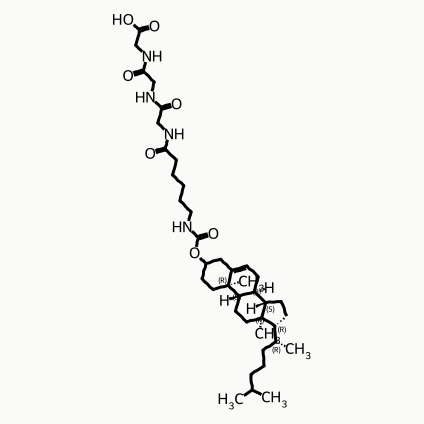 CC(C)CCC[C@@H](C)[C@H]1CC[C@H]2[C@@H]3CC=C4CC(OC(=O)NCCCCCC(=O)NCC(=O)NCC(=O)NCC(=O)O)CC[C@]4(C)[C@H]3CC[C@]12C